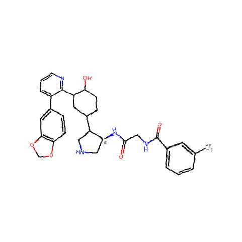 O=C(CNC(=O)c1cccc(C(F)(F)F)c1)N[C@H]1CNCC1C1CCC(O)C(c2ncccc2-c2ccc3c(c2)OCO3)C1